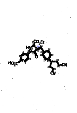 CCOC(=O)C1NN(c2ccc(C(=O)O)cc2)C(=O)/C1=C\c1ccc(N(CCC#N)CCC#N)cc1